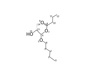 CCCCCOC(OC(=O)CCC)[C@@H](C)O